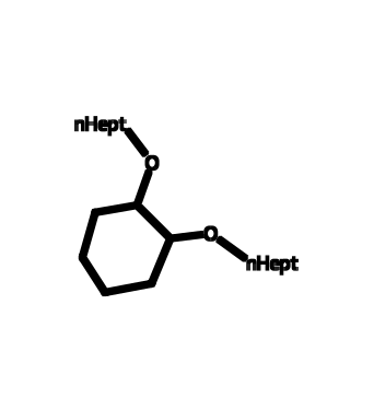 CCCCCCCOC1CCCCC1OCCCCCCC